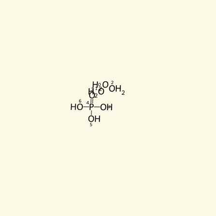 O.O.O.O=P(O)(O)O